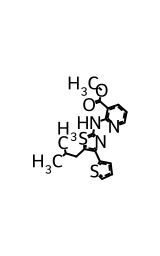 COC(=O)c1cccnc1Nc1nc(-c2cccs2)c(CC(C)C)s1